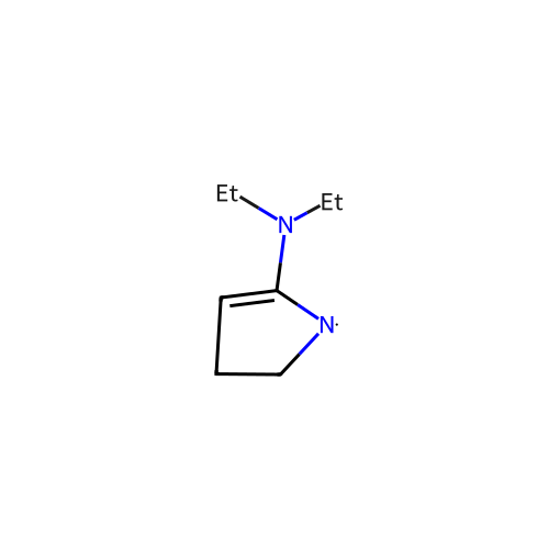 CCN(CC)C1=CCC[N]1